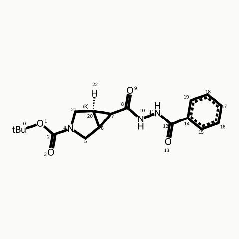 CC(C)(C)OC(=O)N1CC2C(C(=O)NNC(=O)c3ccccc3)[C@@H]2C1